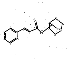 O=C(/C=C/c1ccccc1)NC1CN2CCC1CC2